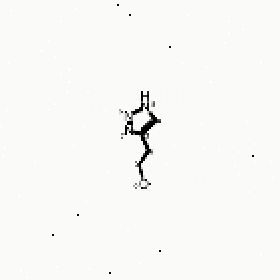 [O]CCc1c[nH]nn1